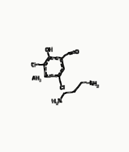 NCCCN.O=Cc1cc(Cl)cc(Cl)c1O.[AlH3]